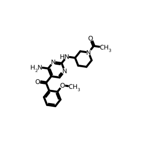 COc1ccccc1C(=O)c1cnc(NC2CCCN(C(C)=O)C2)nc1N